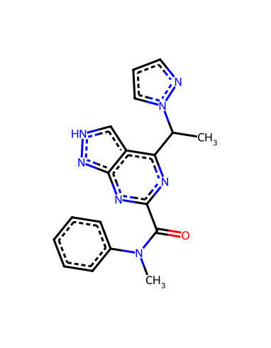 CC(c1nc(C(=O)N(C)c2ccccc2)nc2n[nH]cc12)n1cccn1